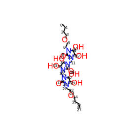 CCCCOCCN1C(=O)N(CN2C(=O)N(CN3C(=O)N(CCOCCCC)C(O)C3O)C(O)C2O)C(O)C1O